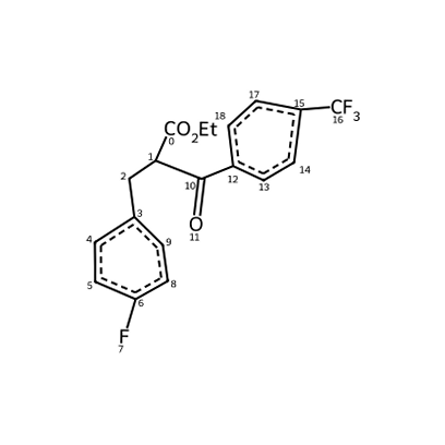 CCOC(=O)C(Cc1ccc(F)cc1)C(=O)c1ccc(C(F)(F)F)cc1